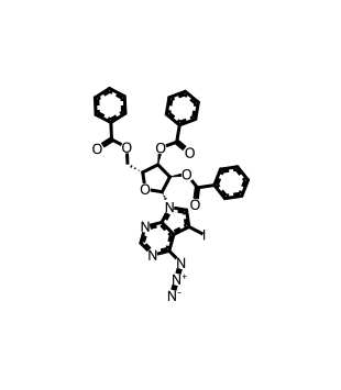 [N-]=[N+]=Nc1ncnc2c1c(I)cn2[C@@H]1O[C@H](COC(=O)c2ccccc2)[C@@H](OC(=O)c2ccccc2)[C@H]1OC(=O)c1ccccc1